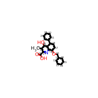 Cc1c(C(=O)O)nc2c(OCc3ccccc3)ccc(-c3ccccc3)c2c1O